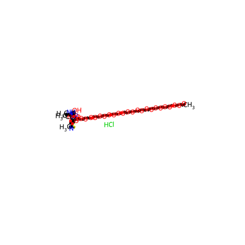 COCCOCCOCCOCCOCCOCCOCCOCCOCCOCCOCCOCCOCCOCCOCCOCCOCCOCCOCCOCCOCCOCCOCC(=O)OCc1cc(-c2scnc2C)ccc1CN(C=O)[C@@H]1C[C@@H](O)CN1C(=O)[C@@H](N)C(C)(C)C.Cl